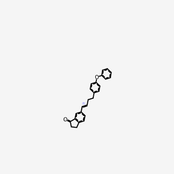 O=C1CCc2ccc(/C=C/CCc3ccc(Oc4ccccc4)cc3)cc21